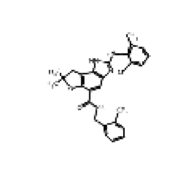 Cc1cccc(Cl)c1Nc1nc2cc(C(=O)NCc3ccccc3C(F)(F)F)c3c(c2[nH]1)CC(C)(C)O3